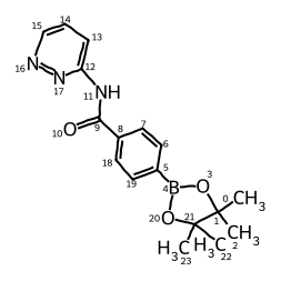 CC1(C)OB(c2ccc(C(=O)Nc3cccnn3)cc2)OC1(C)C